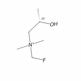 C[C@H](O)C[N+](C)(C)CF